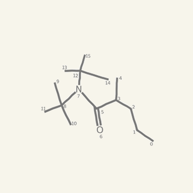 CCCC(C)C(=O)N(C(C)(C)C)C(C)(C)C